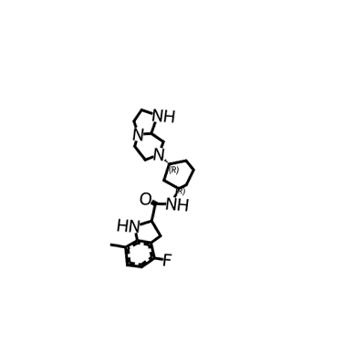 Cc1ccc(F)c2c1NC(C(=O)N[C@@H]1CCC[C@@H](N3CCN4CCNC4C3)C1)C2